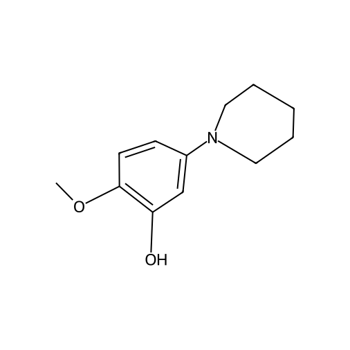 COc1ccc(N2CCCCC2)cc1O